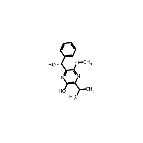 COc1nc(C(C)C)c(O)nc1[C@H](O)c1ccccc1